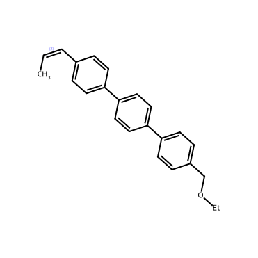 C/C=C\c1ccc(-c2ccc(-c3ccc(COCC)cc3)cc2)cc1